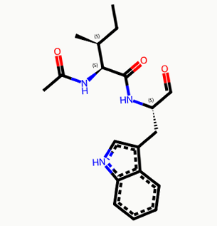 CC[C@H](C)[C@H](NC(C)=O)C(=O)N[C@H](C=O)Cc1c[nH]c2ccccc12